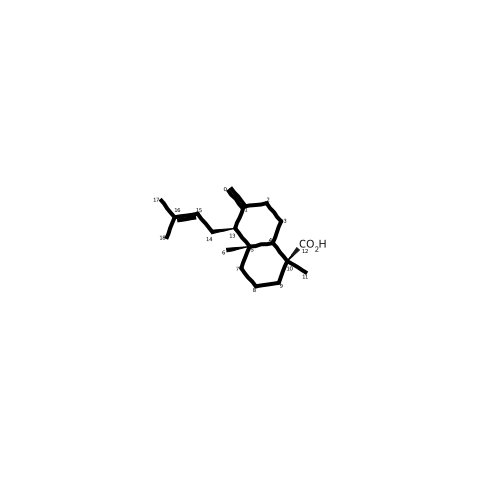 C=C1CCC2[C@](C)(CCC[C@]2(C)C(=O)O)[C@H]1CC=C(C)C